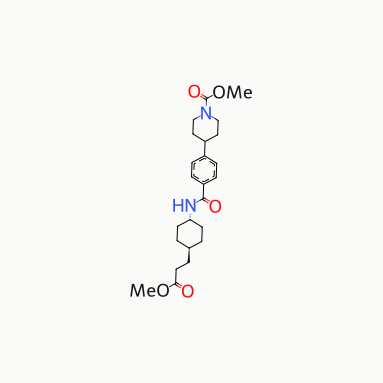 COC(=O)CC[C@H]1CC[C@H](NC(=O)c2ccc(C3CCN(C(=O)OC)CC3)cc2)CC1